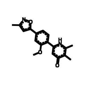 COc1cc(-c2cc(C)no2)ccc1-c1cc(=O)c(C)c(C)[nH]1